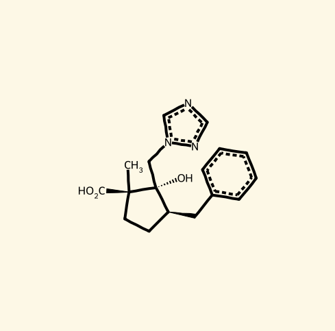 C[C@@]1(C(=O)O)CC[C@H](Cc2ccccc2)[C@]1(O)Cn1cncn1